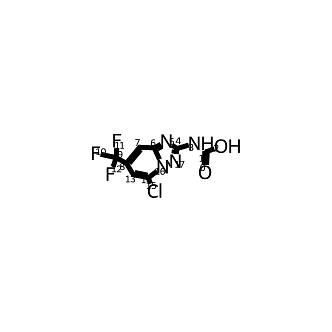 O=C(O)Nc1nc2cc(C(F)(F)F)cc(Cl)n2n1